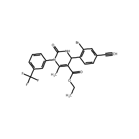 C#Cc1ccc(C2NC(=O)N(c3cccc(C(F)(F)F)c3)C(C)=C2C(=O)OCC)c(Br)c1